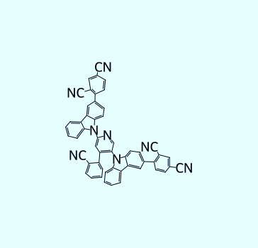 N#Cc1ccc(-c2ccc3c(c2)c2ccccc2n3-c2cc(-c3ccccc3C#N)c(-n3c4ccccc4c4cc(-c5ccc(C#N)cc5C#N)ccc43)cn2)c(C#N)c1